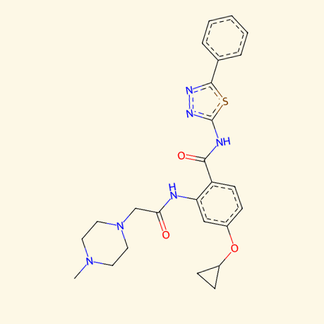 CN1CCN(CC(=O)Nc2cc(OC3CC3)ccc2C(=O)Nc2nnc(-c3ccccc3)s2)CC1